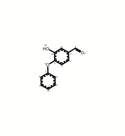 O=Cc1ccc(Oc2ccccc2)c(O)c1